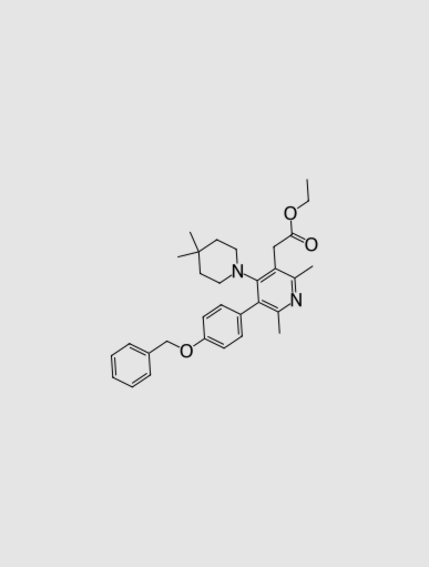 CCOC(=O)Cc1c(C)nc(C)c(-c2ccc(OCc3ccccc3)cc2)c1N1CCC(C)(C)CC1